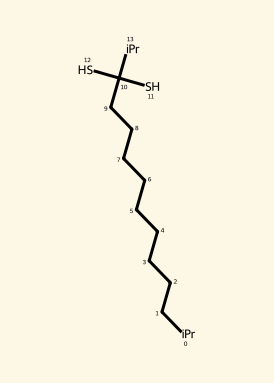 CC(C)CCCCCCCCCC(S)(S)C(C)C